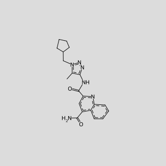 Cc1c(NC(=O)c2cc(C(N)=O)c3ccccc3n2)nnn1CC1CCCC1